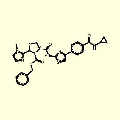 Cn1ccnc1C1SC[C@@H](C(=O)Nc2nc(-c3ccc(C(=O)NC4CC4)cc3)cs2)N1C(=O)OCc1ccccc1